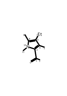 C=C(C)c1c(C)c(CC)c(C)n1C